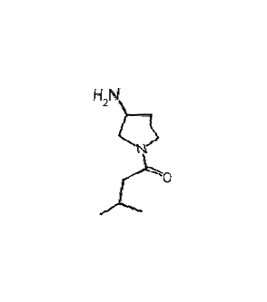 CC(C)CC(=O)N1CCC(N)C1